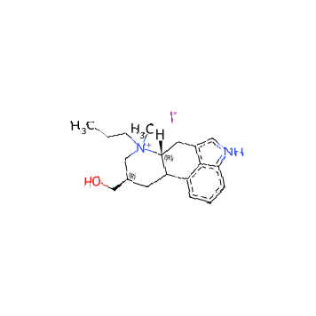 CCC[N+]1(C)C[C@H](CO)CC2c3cccc4[nH]cc(c34)C[C@H]21.[I-]